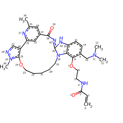 C=CC(=O)NCCOc1c(CN(C)C)ccc2c1N1CCCCCOc3c(cnn3C)-c3cc(cc(C)n3)C(=O)/N=C/1N2